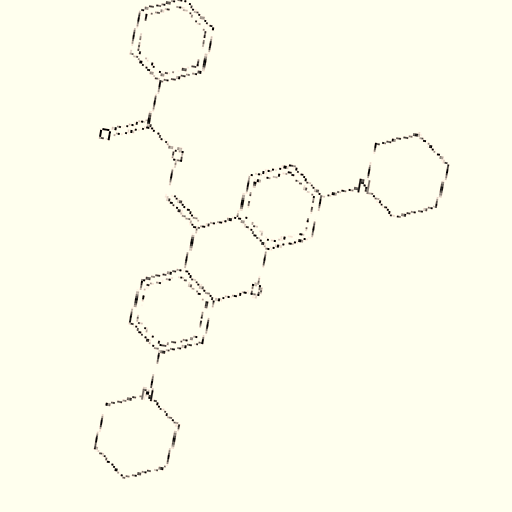 O=C(OC=C1c2ccc(N3CCCCC3)cc2Oc2cc(N3CCCCC3)ccc21)c1ccccc1